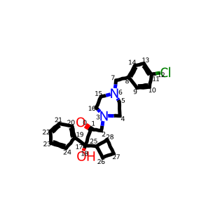 O=C(CN1CCN(Cc2ccc(Cl)cc2)CC1)C(O)(c1ccccc1)C1CCC1